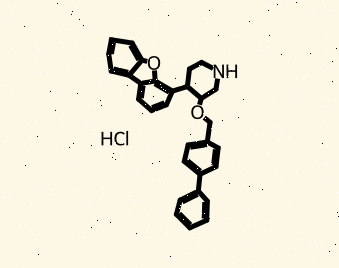 Cl.c1ccc(-c2ccc(COC3CNCCC3c3cccc4c3oc3ccccc34)cc2)cc1